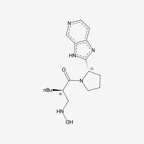 CCCC[C@H](CNO)C(=O)N1CCC[C@H]1c1nc2ccncc2[nH]1